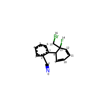 N#Cc1ccccc1C1C=CC=CC1(F)CBr